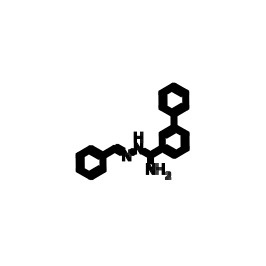 NC(N/N=C/c1ccccc1)c1cccc(-c2ccccc2)c1